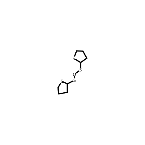 C1CSC(SOSC2CCCS2)C1